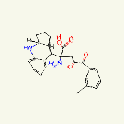 Cc1cccc(C(=O)C(=O)CC(N)(C(=O)O)C2c3ccccc3N[C@@H]3CCC[C@H]23)c1